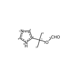 CC(C)(OC=O)c1cnc[nH]1